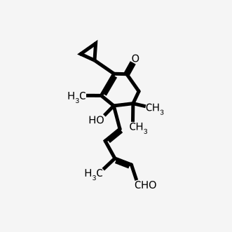 CC(C=CC1(O)C(C)=C(C2CC2)C(=O)CC1(C)C)=CC=O